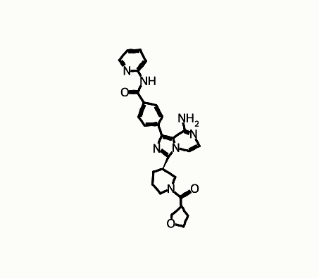 Nc1nccn2c([C@@H]3CCCN(C(=O)C4CCOC4)C3)nc(-c3ccc(C(=O)Nc4ccccn4)cc3)c12